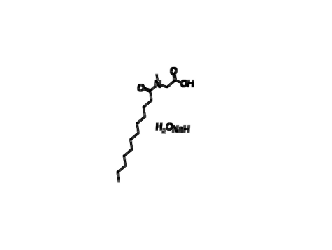 CCCCCCCCCCCC(=O)N(C)CC(=O)O.O.[NaH]